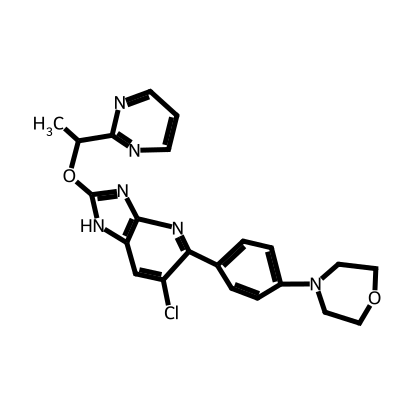 CC(Oc1nc2nc(-c3ccc(N4CCOCC4)cc3)c(Cl)cc2[nH]1)c1ncccn1